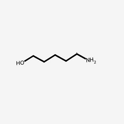 N[CH]CCCCO